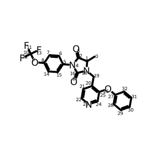 CC1C(=O)N(c2ccc(OC(F)(F)F)cc2)C(=O)N1Cc1ccncc1Oc1ccccc1